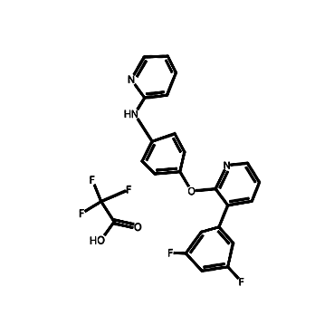 Fc1cc(F)cc(-c2cccnc2Oc2ccc(Nc3ccccn3)cc2)c1.O=C(O)C(F)(F)F